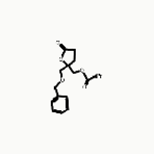 CC(C)C(=O)OCC1(COCc2ccccc2)CCC(=O)O1